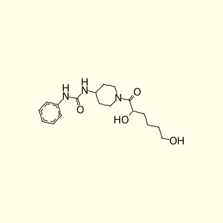 O=C(Nc1ccccc1)NC1CCN(C(=O)C(O)CCCCO)CC1